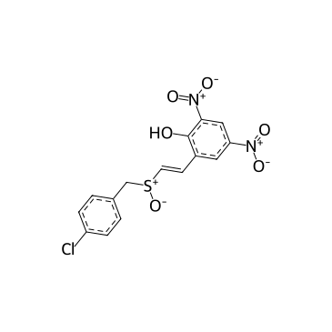 O=[N+]([O-])c1cc(C=C[S+]([O-])Cc2ccc(Cl)cc2)c(O)c([N+](=O)[O-])c1